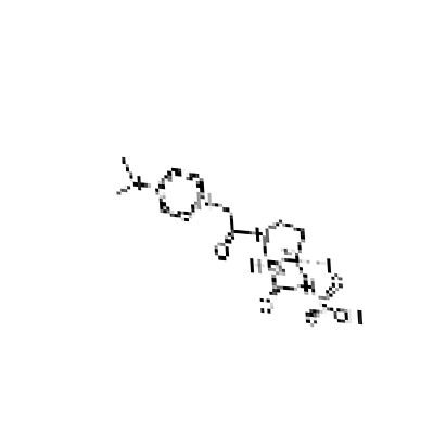 CN(C)c1cc[n+](CC(=O)N2CC[C@@H]3[C@H]2C(=O)N3S(=O)(=O)O)cc1